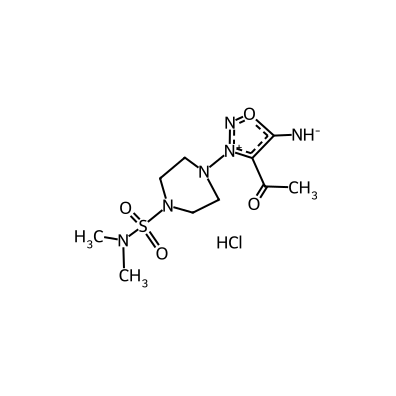 CC(=O)c1c([NH-])on[n+]1N1CCN(S(=O)(=O)N(C)C)CC1.Cl